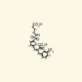 O=C(O)CCCNS(=O)(=O)c1ccc(CN(Cc2cccc(C(F)(F)F)c2)C(=O)C(=O)O)s1